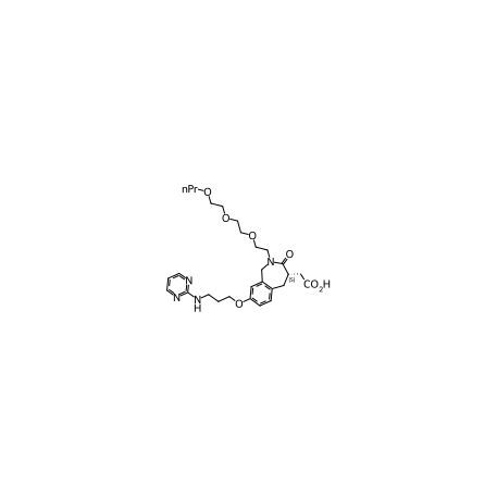 CCCOCCOCCOCCN1Cc2cc(OCCCNc3ncccn3)ccc2C[C@@H](CC(=O)O)C1=O